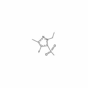 CCn1nc(C)c(F)c1S(C)(=O)=O